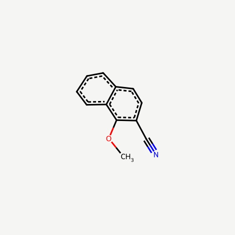 COc1c(C#N)ccc2ccccc12